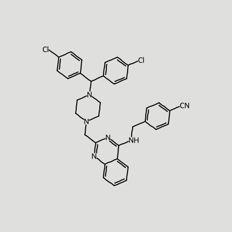 N#Cc1ccc(CNc2nc(CN3CCN(C(c4ccc(Cl)cc4)c4ccc(Cl)cc4)CC3)nc3ccccc23)cc1